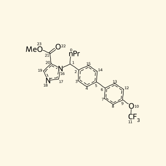 CCCC(c1ccc(-c2ccc(OC(F)(F)F)cc2)cc1)n1cncc1C(=O)OC